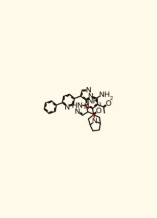 CC(=O)c1c(C2CC3CCC(C2)N3C(=O)C2C=NNC2N)nc2c(-c3ccc(-c4ccccc4)nc3)cnn2c1N